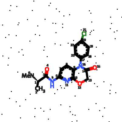 CN[C@@H](C)C(=O)Nc1ccc2c(n1)OCC(=O)N2c1ccc(Cl)cc1